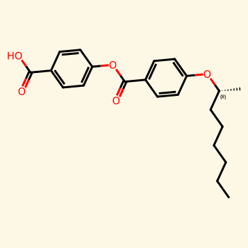 CCCCCC[C@@H](C)Oc1ccc(C(=O)Oc2ccc(C(=O)O)cc2)cc1